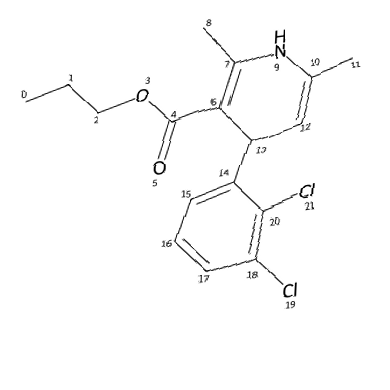 CCCOC(=O)C1=C(C)NC(C)=CC1c1cccc(Cl)c1Cl